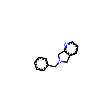 c1ccc(CN2Cc3cccnc3C2)cc1